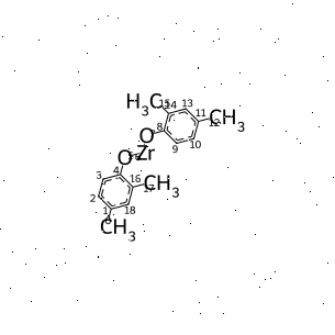 Cc1ccc([O][Zr][O]c2ccc(C)cc2C)c(C)c1